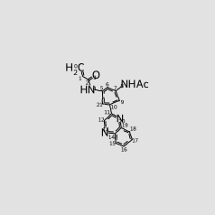 C=CC(=O)Nc1cc(NC(C)=O)cc(-c2cnc3ccccc3n2)c1